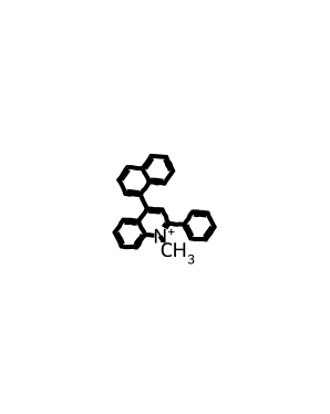 C[n+]1c(-c2ccccc2)cc(-c2cccc3ccccc23)c2ccccc21